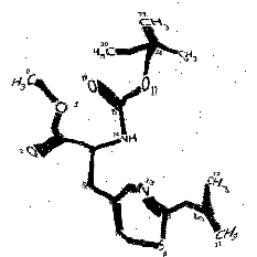 COC(=O)C(Cc1csc(C(C)C)n1)NC(=O)OC(C)(C)C